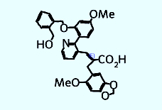 COc1ccc(-c2ncccc2/C=C(\Cc2cc3c(cc2OC)OCO3)C(=O)O)c(OCc2ccccc2CO)c1